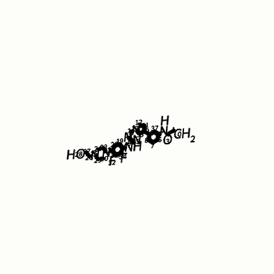 C=CC(=O)Nc1cccc(-c2ccn3cnc(Nc4ccc(N5CCN(CCO)CC5)c(F)c4F)nc23)c1